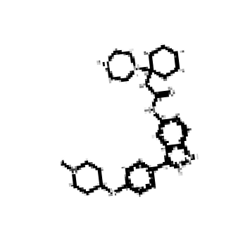 CN1CCC(Oc2ccc(-c3n[nH]c4ccc(NC(=O)CC5(N6CCOCC6)CCCCC5)cc34)cc2)CC1